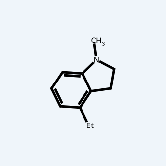 CCc1cccc2c1CCN2C